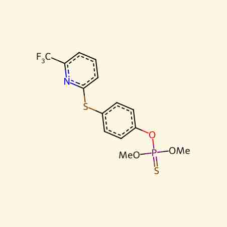 COP(=S)(OC)Oc1ccc(Sc2cccc(C(F)(F)F)n2)cc1